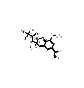 COc1cc(C(N)=O)cc2c1=NNC(C)(CC(O)C(F)(F)F)C=2